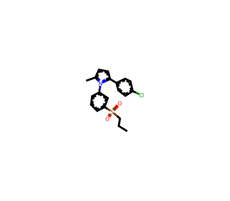 CCCS(=O)(=O)c1cccc(-n2c(C)ccc2-c2ccc(Cl)cc2)c1